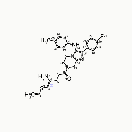 C=CS/C=C(\N)CCC(=O)N1CCn2c(nc(-c3ccc(F)cc3)c2Nc2ccc(C)cc2)C1